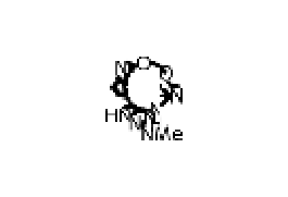 CNc1nc2c3c(c[nH]c3n1)-c1ccc3ncc(cc3c1)OCCOc1cnc(s1)CN2